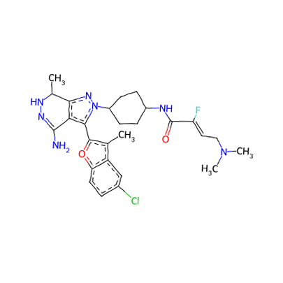 Cc1c(-c2c3c(nn2C2CCC(NC(=O)/C(F)=C/CN(C)C)CC2)C(C)NN=C3N)oc2ccc(Cl)cc12